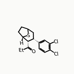 CCC(=O)[C@@H]1[C@@H]2CCC(C[C@@H]1c1ccc(Cl)c(Cl)c1)S2